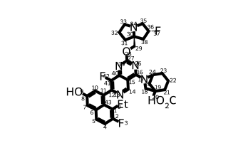 CCc1c(F)ccc2cc(O)cc(-c3ncc4c(N5CC6(C(=O)O)CCCC5C6)nc(OC[C@@]56CCCN5C[C@H](F)C6)nc4c3F)c12